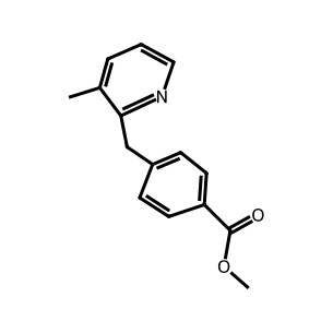 COC(=O)c1ccc(Cc2ncccc2C)cc1